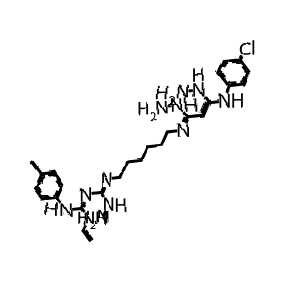 C=CN/C(=N\C(=N\CCCCCC/N=C(/C=C(\NN)Nc1ccc(Cl)cc1)NN)NN)Nc1ccc(C)cc1